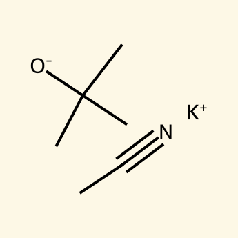 CC#N.CC(C)(C)[O-].[K+]